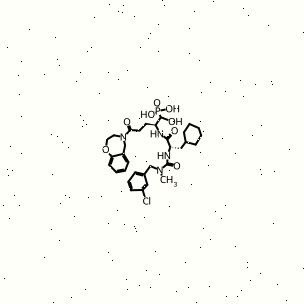 CN(Cc1cccc(Cl)c1)C(=O)N[C@@H](CC1CCCCC1)C(=O)N[C@@H](CCC(=O)N1CCOc2ccccc2C1)C(O)P(=O)(O)O